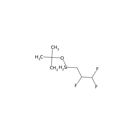 CC(C)(C)O[SiH2]CC(F)C(F)F